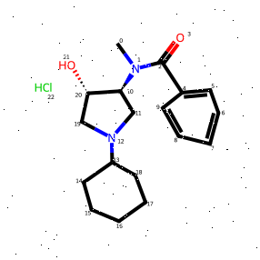 CN(C(=O)c1ccccc1)[C@H]1CN(C2CCCCC2)C[C@@H]1O.Cl